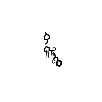 CC1CCC(CC[C@H]2CCNC(C(=O)/N=C/C(CO)Cc3ccccc3)C2)CC1